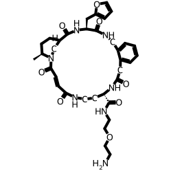 C[C@H]1CC[C@@H]2CN1C(=O)/C=C/C(=O)NCC[C@@H](C(=O)NCCOCCN)NC(=O)Cc1ccccc1CNC(=O)[C@H](Cc1ccco1)NC2=O